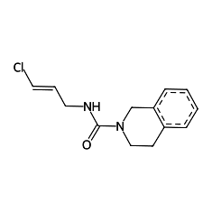 O=C(NCC=CCl)N1CCc2ccccc2C1